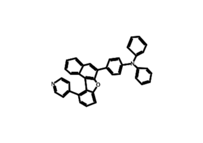 c1ccc(N(c2ccccc2)c2ccc(-c3cc4ccccc4c4c3oc3cccc(-c5ccncc5)c34)cc2)cc1